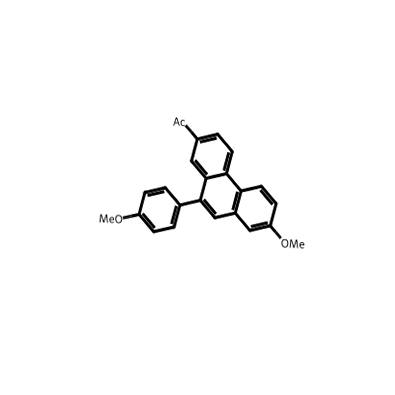 COc1ccc(-c2cc3cc(OC)ccc3c3ccc(C(C)=O)cc23)cc1